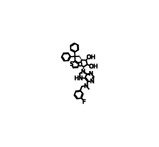 CN(Cc1cccc(F)c1)c1ncnc2c1NCN2[C@@H]1O[C@H](CC(c2ccccc2)(c2ccccc2)c2cccs2)[C@@H](O)[C@H]1O